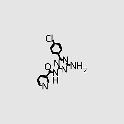 Nc1nc(NC(=O)c2cccnc2)nc(-c2ccc(Cl)cc2)n1